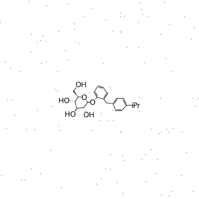 CC(C)c1ccc(Cc2ccccc2O[C@@H]2O[C@H](CO)[C@@H](O)[C@H](O)[C@H]2O)cc1